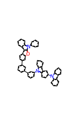 c1ccc(-n2c3ccccc3c3c4ccc(-c5cccc(-c6cccc(-n7c8ccccc8c8cc(-n9c%10ccccc%10c%10ccccc%109)ccc87)c6)c5)cc4oc32)cc1